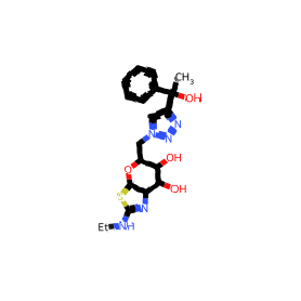 CCNC1=NC2C(OC(Cn3cc(C(C)(O)c4ccccc4)nn3)C(O)C2O)S1